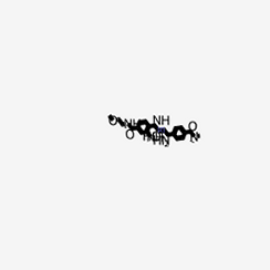 COCCNC(=O)c1ccc(C(=N)/C(O)=C/C(=N)c2ccc(C(=O)N(C)C)cc2)c(N)c1